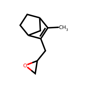 CC1=C(CC2CO2)C2CCC1C2